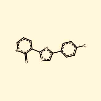 O=c1[nH]cccc1-c1nc(-c2ccc(Cl)cc2)cs1